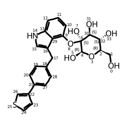 OC[C@H]1O[C@@H](O)[C@@](O)(Oc2cccc3[nH]cc(Cc4ccc(-c5ccsc5)cc4)c23)[C@@H](O)[C@@H]1O